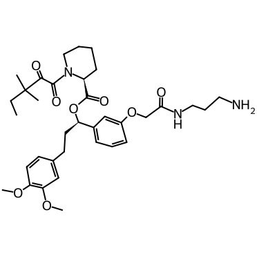 CCC(C)(C)C(=O)C(=O)N1CCCC[C@H]1C(=O)O[C@H](CCc1ccc(OC)c(OC)c1)c1cccc(OCC(=O)NCCCN)c1